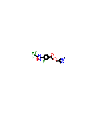 Cn1cc(COCC(=O)c2ccc(-c3noc(C(F)(F)F)n3)c(F)c2)cn1